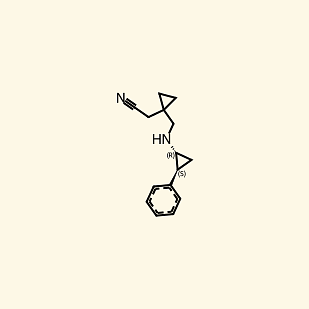 N#CCC1(CN[C@@H]2C[C@H]2c2ccccc2)CC1